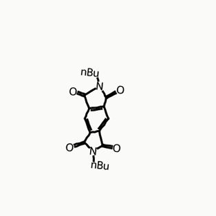 CCCCn1c(=O)c2cc3c(=O)n(CCCC)c(=O)c3cc2c1=O